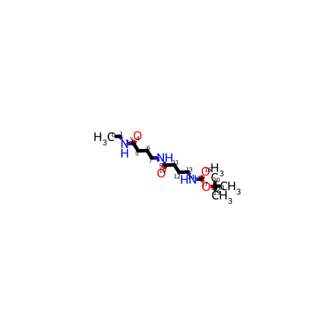 CCNC(=O)CCCNC(=O)CCCNC(=O)OC(C)(C)C